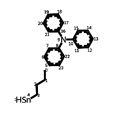 CCC[CH2][SnH].c1ccc(N(c2ccccc2)c2ccccc2)cc1